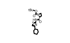 CC(C)(C)OC(=O)N1CC[C@H]1C(=O)Nc1nc(C2CCCCC2)cs1